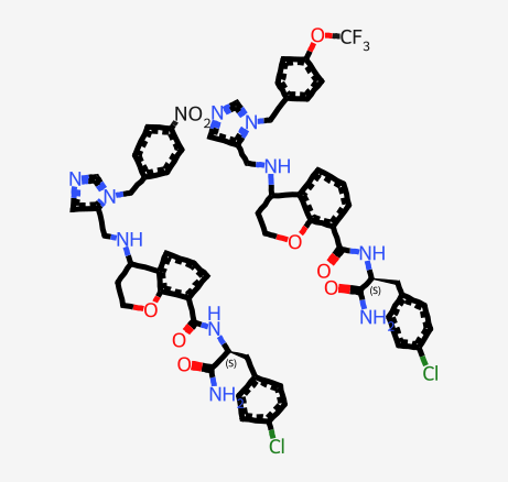 NC(=O)[C@H](Cc1ccc(Cl)cc1)NC(=O)c1cccc2c1OCCC2NCc1cncn1Cc1ccc(OC(F)(F)F)cc1.NC(=O)[C@H](Cc1ccc(Cl)cc1)NC(=O)c1cccc2c1OCCC2NCc1cncn1Cc1ccc([N+](=O)[O-])cc1